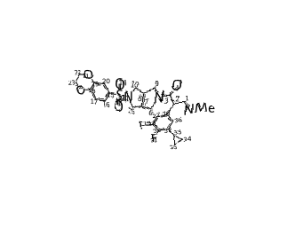 CNCC(C(=O)N1CC2=C(C1)CN(S(=O)(=O)c1ccc3c(c1)OCCO3)C2)c1cc(F)c(F)c(C2CC2)c1